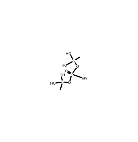 CCCP(=O)(O[Si](C)(O)O)O[Si](C)(O)O